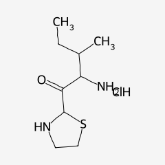 CCC(C)C(N)C(=O)C1NCCS1.Cl